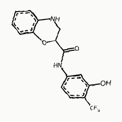 O=C(Nc1ccc(C(F)(F)F)c(O)c1)C1CNc2ccccc2O1